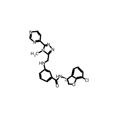 Cn1c(CNc2cccc(C(=O)N[C@@H]3COc4c(Cl)cccc43)c2)nnc1-c1ccncn1